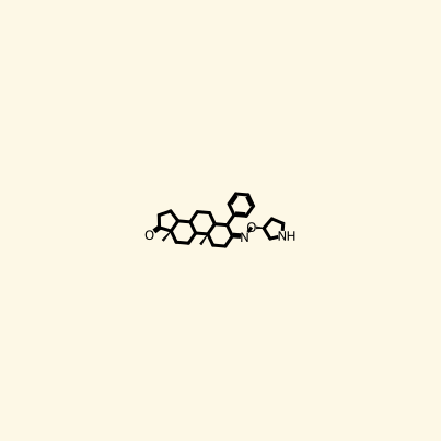 C[C@]12CC/C(=N/O[C@H]3CCNC3)C(c3ccccc3)C1CCC1C2CC[C@]2(C)C(=O)CCC12